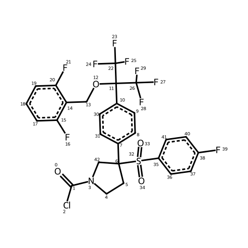 O=C(Cl)N1CCC(c2ccc(C(OCc3c(F)cccc3F)(C(F)(F)F)C(F)(F)F)cc2)(S(=O)(=O)c2ccc(F)cc2)C1